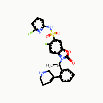 C[C@H](c1ccccc1C1=CCCNC1)n1c(=O)oc2cc(S(=O)(=O)Nc3cccc(F)n3)c(F)cc21